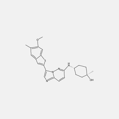 COc1cc2sc(-c3cnc4ccc(N[C@H]5CC[C@](C)(O)CC5)nn34)cc2cc1C